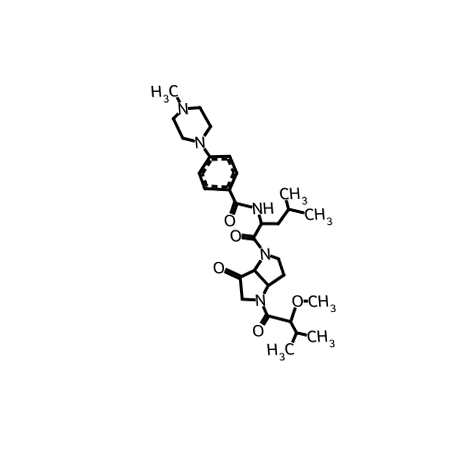 COC(C(=O)N1CC(=O)C2C1CCN2C(=O)C(CC(C)C)NC(=O)c1ccc(N2CCN(C)CC2)cc1)C(C)C